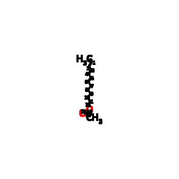 CC=CC=CC=CCCCCCCOC(C)=O